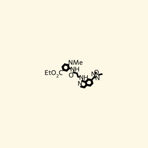 CCOC(=O)c1ccc(NC)c(NC(=O)CCNc2nccc3ccc(-c4noc(C)n4)cc23)c1